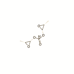 C[C@H]1O[C@H]1O[PH](=O)O[C@@H]1O[C@@H]1C